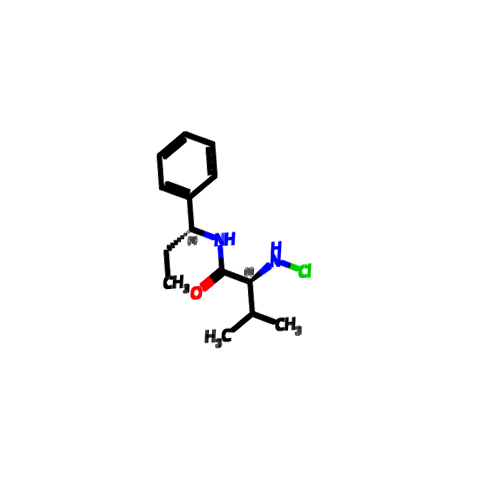 CC[C@@H](NC(=O)[C@@H](NCl)C(C)C)c1ccccc1